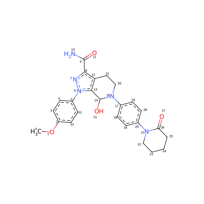 COc1ccc(-n2nc(C(N)=O)c3c2C(O)N(c2ccc(N4CCCCC4=O)cc2)CC3)cc1